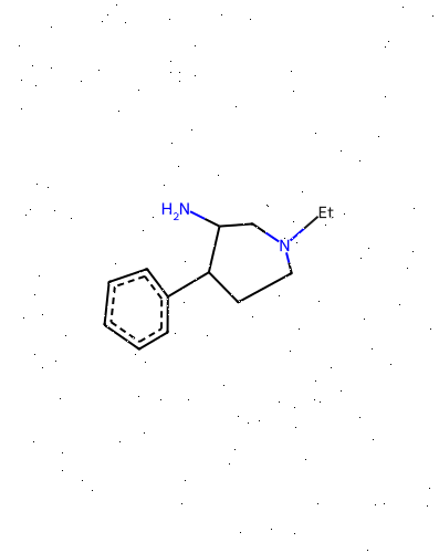 CCN1CCC(c2ccccc2)C(N)C1